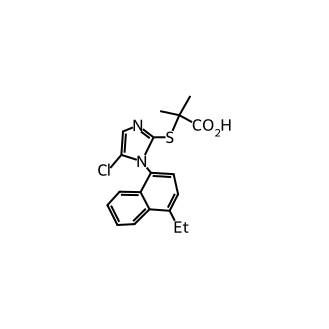 CCc1ccc(-n2c(Cl)cnc2SC(C)(C)C(=O)O)c2ccccc12